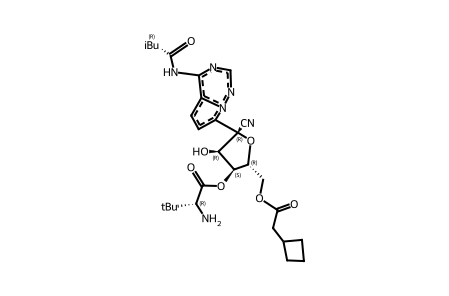 CC[C@@H](C)C(=O)Nc1ncnn2c([C@]3(C#N)O[C@H](COC(=O)CC4CCC4)[C@@H](OC(=O)[C@H](N)C(C)(C)C)[C@H]3O)ccc12